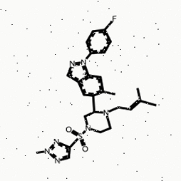 CC(C)=CCN1CCN(S(=O)(=O)c2cnn(C)n2)CC1c1cc2cnn(-c3ccc(F)cc3)c2cc1C